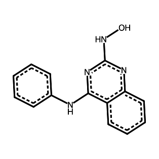 ONc1nc(Nc2ccccc2)c2ccccc2n1